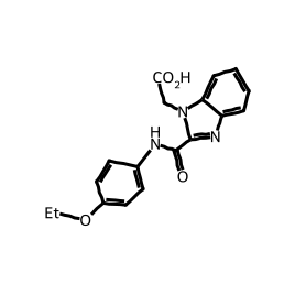 CCOc1ccc(NC(=O)c2nc3ccccc3n2CC(=O)O)cc1